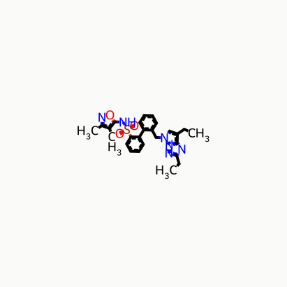 CCc1nc2c(CC)cn(Cc3ccccc3-c3ccccc3S(=O)(=O)Nc3onc(C)c3C)n2n1